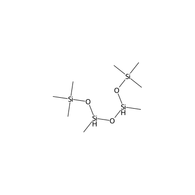 C[SiH](O[SiH](C)O[Si](C)(C)C)O[Si](C)(C)C